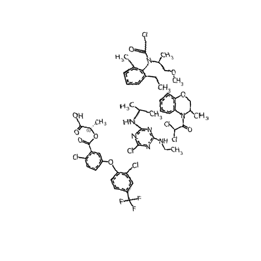 CC1COc2ccccc2N1C(=O)C(Cl)Cl.CCNc1nc(Cl)nc(NC(C)C)n1.CCc1cccc(C)c1N(C(=O)CCl)C(C)COC.C[C@H](OC(=O)c1cc(Oc2ccc(C(F)(F)F)cc2Cl)ccc1Cl)C(=O)O